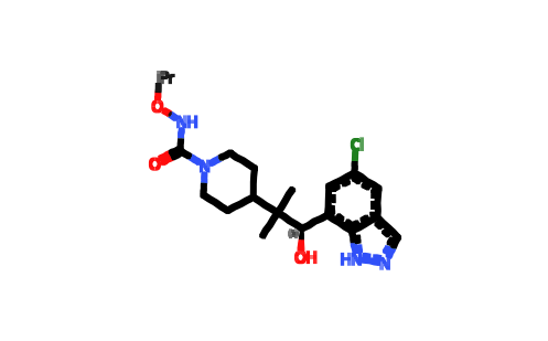 CC(C)ONC(=O)N1CCC(C(C)(C)[C@H](O)c2cc(Cl)cc3cn[nH]c23)CC1